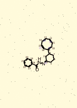 O=C(N/N=C1/CCCC(C2=C/C=C\C=C/C=C\2)C1)c1ccccc1